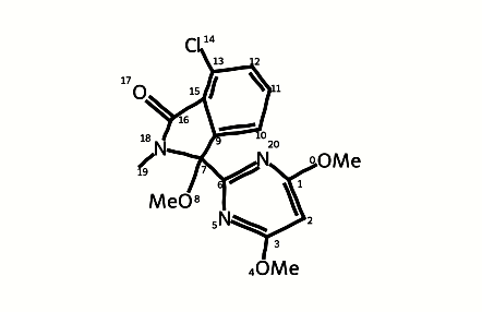 COc1cc(OC)nc(C2(OC)c3cccc(Cl)c3C(=O)N2C)n1